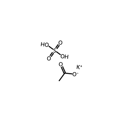 CC(=O)[O-].O=S(=O)(O)O.[K+]